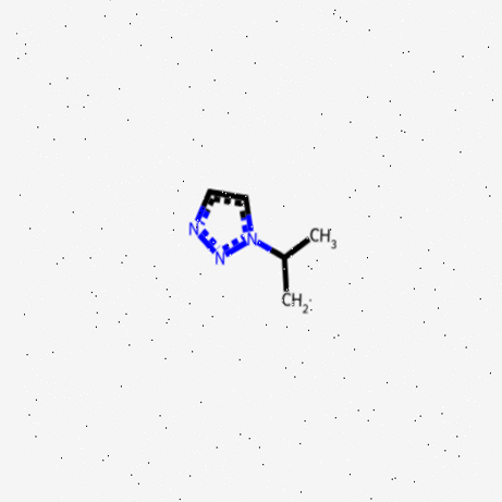 [CH2]C(C)n1ccnn1